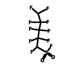 O=S(=O)(F)C(F)C(F)(F)C(F)(F)C(F)(F)C(F)F